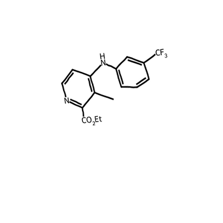 CCOC(=O)c1nccc(Nc2cccc(C(F)(F)F)c2)c1C